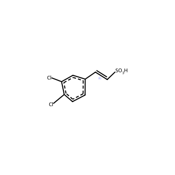 O=S(=O)(O)/C=C/c1ccc(Cl)c(Cl)c1